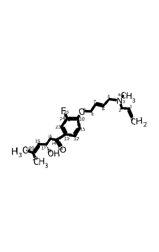 C=CCN(C)C/C=C/COc1ccc(C(=O)C[C@H](O)C=C(C)C)cc1F